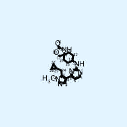 Cn1ncc(-c2ccnc(NC3CCC4(CC3)COC(=O)N4)n2)c1CC1CC1